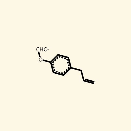 C=CCc1ccc(O[C]=O)cc1